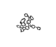 c1ccc(-c2ccc(N(c3ccc4c(c3)C3(c5ccccc5-4)c4ccccc4-c4c3ccc3ccccc43)c3ccc4c(c3)c3ccccc3n4-c3ccccc3)cc2)cc1